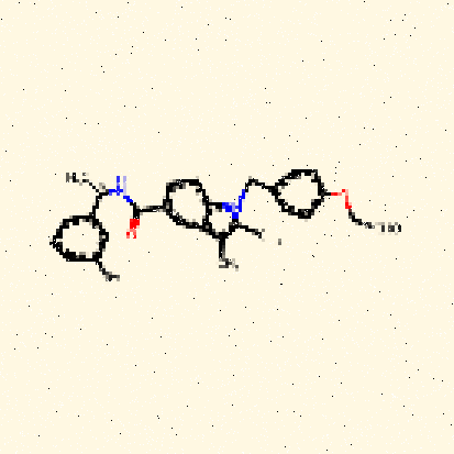 Cc1c(C)n(Cc2ccc(OCC=O)cc2)c2ccc(C(=O)N[C@@H](C)c3cccc(C(C)C)c3)cc12